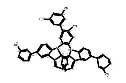 N#Cc1cccc(-c2ccc3c(c2)c2ccccc2n3-c2cc(C#N)c(-c3cc(C#N)cc(C(F)(F)F)c3)cc2-n2c3ccccc3c3cc(-c4cccc(C#N)c4)ccc32)c1